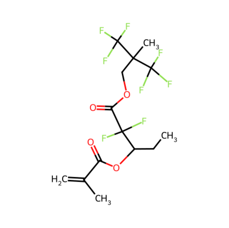 C=C(C)C(=O)OC(CC)C(F)(F)C(=O)OCC(C)(C(F)(F)F)C(F)(F)F